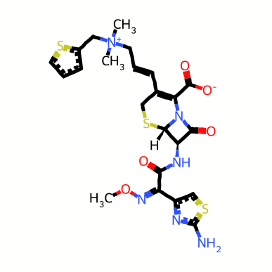 CO/N=C(\C(=O)N[C@@H]1C(=O)N2C(C(=O)[O-])=C(/C=C/C[N+](C)(C)Cc3cccs3)CS[C@@H]12)c1csc(N)n1